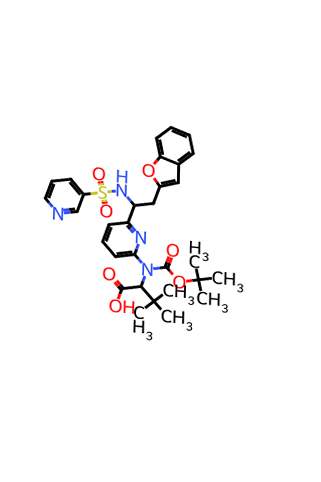 CC(C)(C)OC(=O)N(c1cccc(C(Cc2cc3ccccc3o2)NS(=O)(=O)c2cccnc2)n1)C(C(=O)O)C(C)(C)C